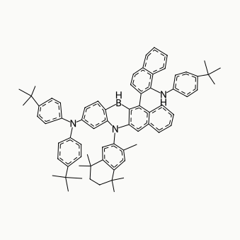 Cc1cc2c(cc1N1c3cc(N(c4ccc(C(C)(C)C)cc4)c4ccc(C(C)(C)C)cc4)ccc3Bc3c1cc1ccccc1c3-c1ccc3ccccc3c1Nc1ccc(C(C)(C)C)cc1)C(C)(C)CCC2(C)C